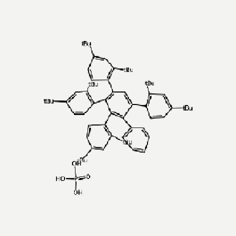 CC(C)(C)c1ccc(-c2cc(-c3ccc(C(C)(C)C)cc3C(C)(C)C)c(-c3ccc(C(C)(C)C)cc3C(C)(C)C)c(-c3ccc(C(C)(C)C)cc3C(C)(C)C)c2-c2ccccc2)c(C(C)(C)C)c1.O=P(O)(O)O